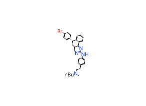 CCCCN(C)CCc1ccc(Nc2ncc3c(n2)-c2ccccc2[C@@H](c2ccc(Br)cc2)C3)cc1